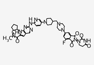 CN(C)C(=O)c1cc2cnc(Nc3ccc(N4CCC(CN5CCN(c6cc(F)c7c(c6)C(=O)N(N6CCC(=O)NC6=O)C7=O)CC5)CC4)cn3)nc2n1C1CCCC1